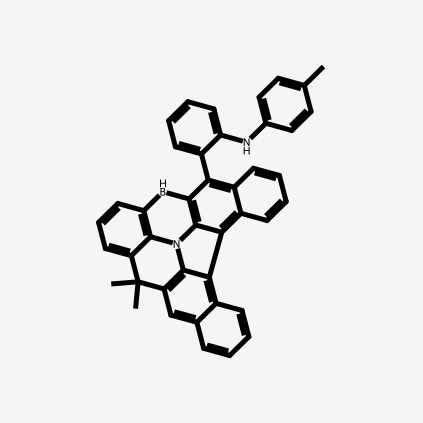 Cc1ccc(Nc2ccccc2-c2c3c4c(c5ccccc25)c2c5ccccc5cc5c2n4-c2c(cccc2C5(C)C)B3)cc1